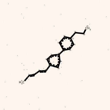 CC=CC=Cc1ccc(-c2ccc(CCC)cc2)cc1